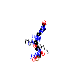 CNc1cc(-c2ncnc(Nc3ccc(N4CCN(C5COC5)CC4)cc3)n2)ccc1O[C@H]1CCN(C(=O)C2CSC(=O)N2)C[C@H]1C